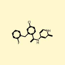 C=C1C=C(NC(=C)c2ccc(Cl)cc2Cc2ccccc2F)C=CN1